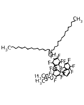 CCCCCCCCCCCCCCN(C)CCCCCCCCCCCCCC.C[CH2][Al]([CH2]C)[O]C1(F)C(F)=C(F)C(B(c2c(F)c(F)c(F)c(F)c2F)c2c(F)c(F)c(F)c(F)c2F)(c2ccccc2)C(F)=C1F